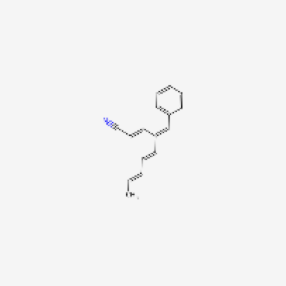 CC=CC=CC(C=CC#N)=Cc1ccccc1